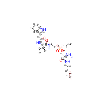 C=CCOP(=O)(OCCNC(=O)[C@@H](NC(=O)Cc1c[nH]c2ccccc12)[C@@H](C)CC)OCC(N)C(=O)NCCCOC=O